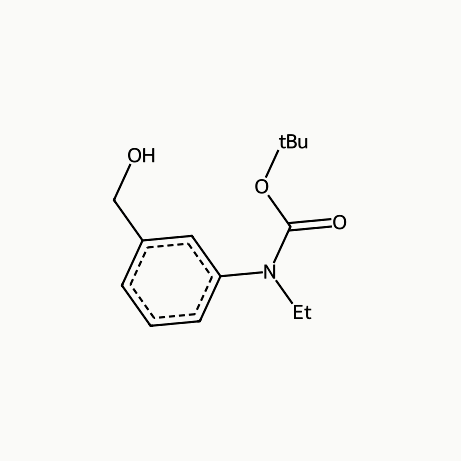 CCN(C(=O)OC(C)(C)C)c1cccc(CO)c1